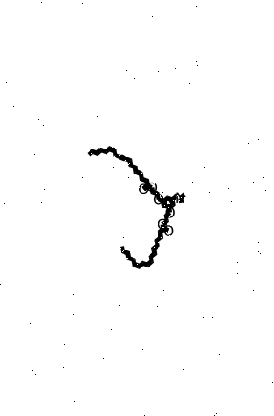 CC/C=C/C/C=C\CC#CCCC/C=C/CCC(=O)OCCOc1cc(CN(C)C)cc(OCCOC(=O)CCCCCCC/C=C\C/C=C\CCCCC)c1